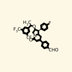 C[C@@H](OC1CN2C(=O)C=C(c3ccc(C=O)cc3)CC2[C@@H]1c1ccc(F)cc1)c1cc(C(F)(F)F)cc(C(F)(F)F)c1